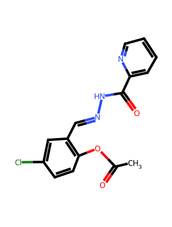 CC(=O)Oc1ccc(Cl)cc1C=NNC(=O)c1ccccn1